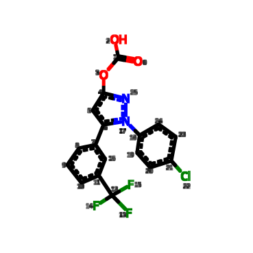 O=C(O)Oc1cc(-c2cccc(C(F)(F)F)c2)n(-c2ccc(Cl)cc2)n1